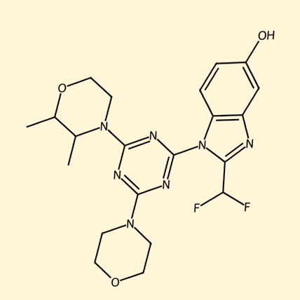 CC1OCCN(c2nc(N3CCOCC3)nc(-n3c(C(F)F)nc4cc(O)ccc43)n2)C1C